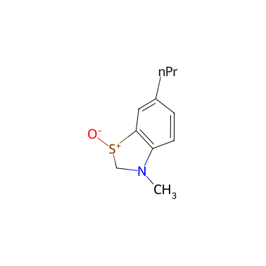 CCCc1ccc2c(c1)[S+]([O-])CN2C